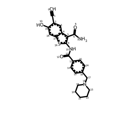 C#Cc1cc2c(C(N)=O)c(NC(=O)c3ccc(CN4CCCCC4)cc3)sc2cc1O